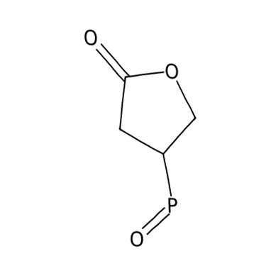 O=PC1COC(=O)C1